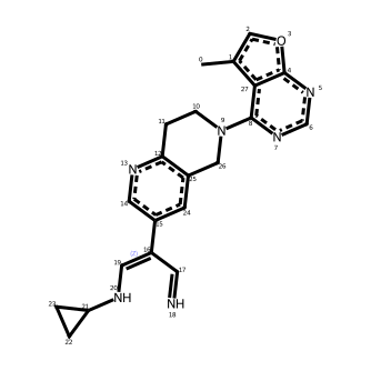 Cc1coc2ncnc(N3CCc4ncc(/C(C=N)=C/NC5CC5)cc4C3)c12